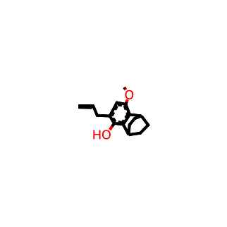 C=CCc1cc(OC)c2c(c1O)C1CCC2CC1